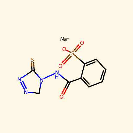 O=C(NN1CN=NC1=S)c1ccccc1S(=O)(=O)[O-].[Na+]